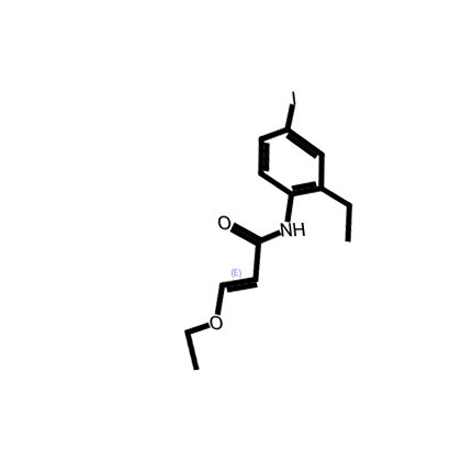 CCO/C=C/C(=O)Nc1ccc(I)cc1CC